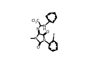 CN1C(=O)N(c2ccccc2F)C(=O)/C1=N\C(Nc1ccccc1)C(Cl)(Cl)Cl